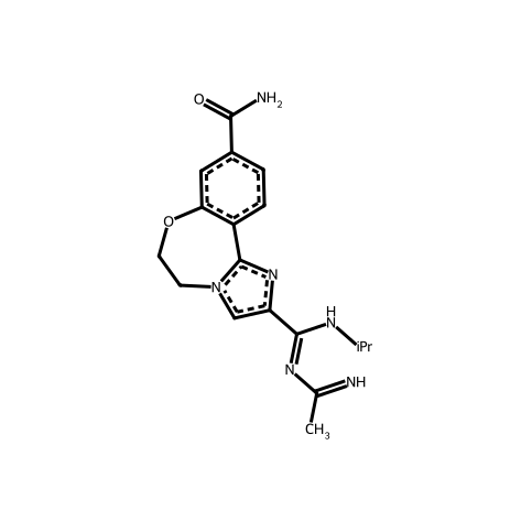 CC(=N)/N=C(\NC(C)C)c1cn2c(n1)-c1ccc(C(N)=O)cc1OCC2